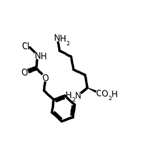 NCCCC[C@H](N)C(=O)O.O=C(NCl)OCc1ccccc1